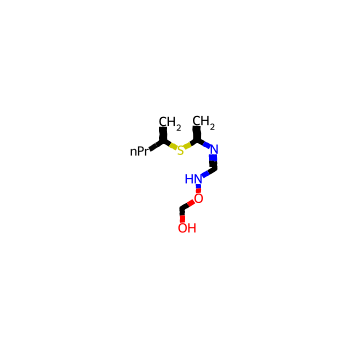 C=C(CCC)SC(=C)/N=C\NOCO